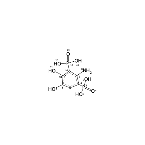 Nc1c(P(=O)(O)O)cc(O)c(O)c1P(=O)(O)O